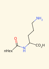 CCCCCCC(=O)NC(CCCN)C(=O)O